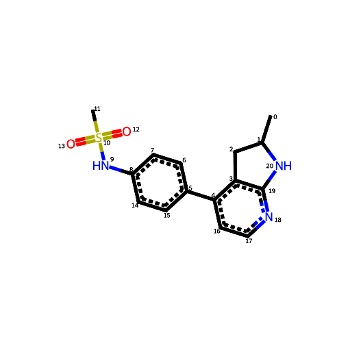 CC1Cc2c(-c3ccc(NS(C)(=O)=O)cc3)ccnc2N1